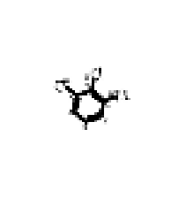 CCc1cccc(Cl)c1Cl